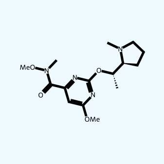 COc1cc(C(=O)N(C)OC)nc(O[C@@H](C)[C@@H]2CCCN2C)n1